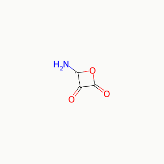 N[C]1OC(=O)C1=O